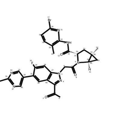 CC(=O)c1nn(CC(=O)N2[C@H](C(=O)Nc3nc(Br)ccc3C)C[C@@]3(C)C[C@@H]23)c2cc(F)c(-c3cnc(C)nc3)cc12